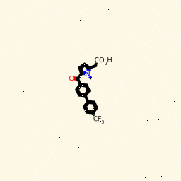 Cn1c(CC(=O)O)ccc1C(=O)c1ccc(-c2ccc(C(F)(F)F)cc2)cc1